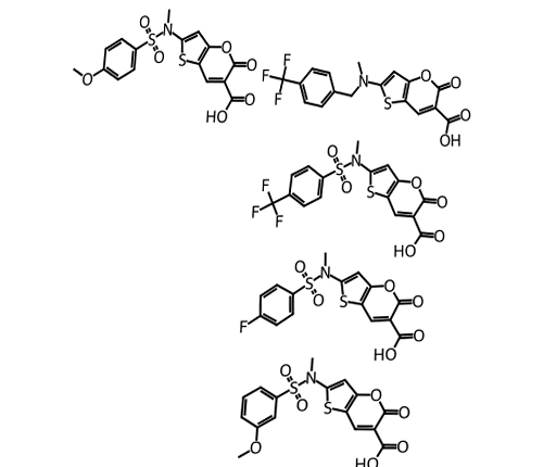 CN(Cc1ccc(C(F)(F)F)cc1)c1cc2oc(=O)c(C(=O)O)cc2s1.CN(c1cc2oc(=O)c(C(=O)O)cc2s1)S(=O)(=O)c1ccc(C(F)(F)F)cc1.CN(c1cc2oc(=O)c(C(=O)O)cc2s1)S(=O)(=O)c1ccc(F)cc1.COc1ccc(S(=O)(=O)N(C)c2cc3oc(=O)c(C(=O)O)cc3s2)cc1.COc1cccc(S(=O)(=O)N(C)c2cc3oc(=O)c(C(=O)O)cc3s2)c1